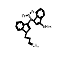 C=CCCC1C=C(B(C2C=C(CCCCCC)c3ccccc32)N(C(C)C)C(C)C)c2ccccc21